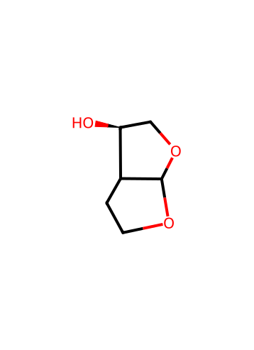 O[C@H]1COC2OCCC21